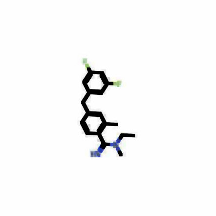 CCN(C)C(=N)c1ccc(Cc2cc(F)cc(F)c2)cc1C